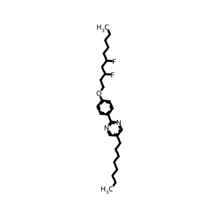 CCCCCCCCc1cnc(-c2ccc(OCCC(F)CC(F)CCCCC)cc2)nc1